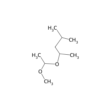 COC(C)OC(C)CC(C)C